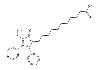 CCn1c(-c2ccccc2)c(-c2ccccc2)n(CCCCCCCCCCC(=O)O)c1=O